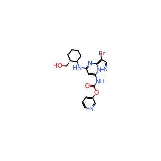 O=C(Nc1cc(N[C@@H]2CCCC[C@@H]2CO)nc2c(Br)cnn12)Oc1cccnc1